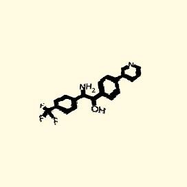 NC(c1ccc(C(F)(F)F)cc1)C(O)c1ccc(-c2cccnc2)cc1